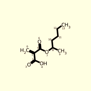 C=C(C(=O)O)C(=O)OC(C)CCCC